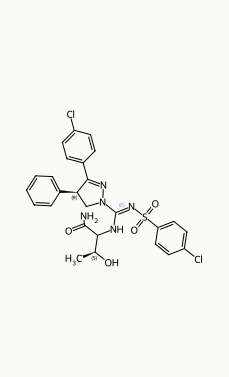 C[C@H](O)C(N/C(=N\S(=O)(=O)c1ccc(Cl)cc1)N1C[C@@H](c2ccccc2)C(c2ccc(Cl)cc2)=N1)C(N)=O